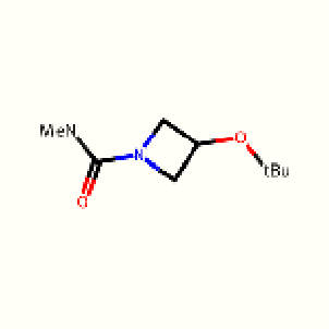 CNC(=O)N1CC(OC(C)(C)C)C1